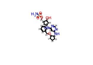 NS(=O)(=O)OC[C@H]1C[C@@H](Nc2cc(N[C@@H]3CCC[C@H]3OCc3ccccc3)ncn2)C[C@@H]1O